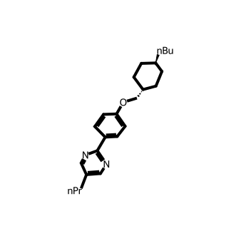 CCCC[C@H]1CC[C@H](COc2ccc(-c3ncc(CCC)cn3)cc2)CC1